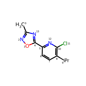 Cc1noc(-c2ccc(C(C)C)c(Cl)n2)n1